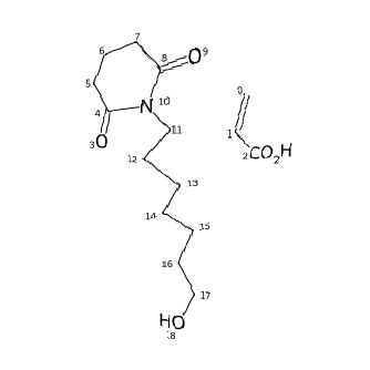 C=CC(=O)O.O=C1CCCC(=O)N1CCCCCCCO